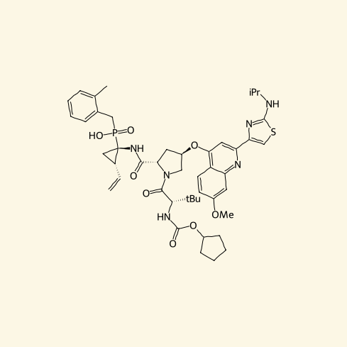 C=C[C@@H]1C[C@]1(NC(=O)[C@@H]1C[C@@H](Oc2cc(-c3csc(NC(C)C)n3)nc3cc(OC)ccc23)CN1C(=O)[C@@H](NC(=O)OC1CCCC1)C(C)(C)C)P(=O)(O)Cc1ccccc1C